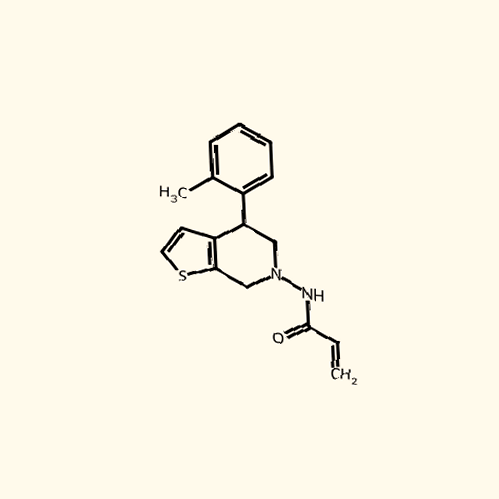 C=CC(=O)NN1Cc2sccc2C(c2ccccc2C)C1